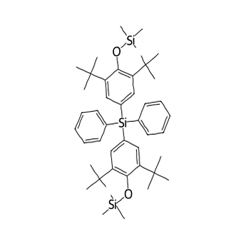 CC(C)(C)c1cc([Si](c2ccccc2)(c2ccccc2)c2cc(C(C)(C)C)c(O[Si](C)(C)C)c(C(C)(C)C)c2)cc(C(C)(C)C)c1O[Si](C)(C)C